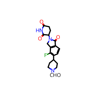 O=CN1CCC(c2ccc3c(c2F)CN(C2CCC(=O)NC2=O)C3=O)CC1